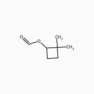 CC1(C)CCC1OC=O